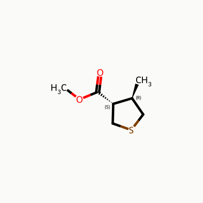 COC(=O)[C@H]1CSC[C@@H]1C